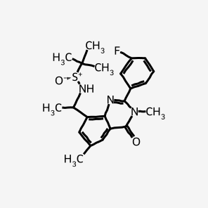 Cc1cc(C(C)N[S@+]([O-])C(C)(C)C)c2nc(-c3cccc(F)c3)n(C)c(=O)c2c1